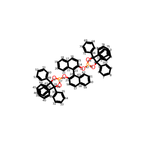 c1ccc(C2(c3ccccc3)OP(Oc3ccc4ccccc4c3-c3c(OP4OC(c5ccccc5)(c5ccccc5)C(c5ccccc5)(c5ccccc5)O4)ccc4ccccc34)OC2(c2ccccc2)c2ccccc2)cc1